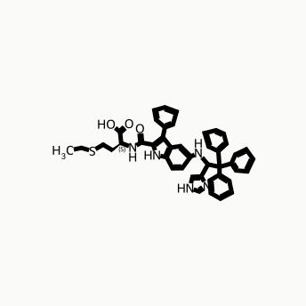 CCSCC[C@H](NC(=O)c1[nH]c2ccc(NC(c3c[nH]cn3)C(c3ccccc3)(c3ccccc3)c3ccccc3)cc2c1-c1ccccc1)C(=O)O